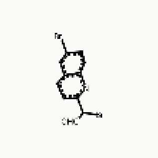 O=CC(Br)c1ccc2cc(Br)ccc2n1